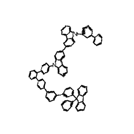 c1ccc(-c2cccc(-n3c4ccccc4c4cc(-c5ccc6c(c5)c5ccccc5n6-c5ccc(-c6ccccc6-c6ccc(-c7cccc(-c8cccc(C9(c%10ccccc%10)c%10ccccc%10-c%10ccccc%109)c8)c7)cc6)cc5)ccc43)c2)cc1